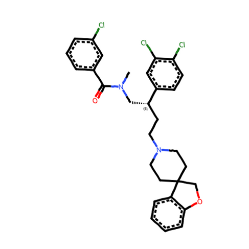 CN(C[C@@H](CCN1CCC2(CC1)COc1ccccc12)c1ccc(Cl)c(Cl)c1)C(=O)c1cccc(Cl)c1